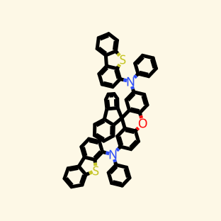 c1ccc(N(c2ccc3c(c2)C2(c4cc(N(c5ccccc5)c5cccc6c5sc5ccccc56)ccc4O3)c3ccccc3-c3ccccc32)c2cccc3c2sc2ccccc23)cc1